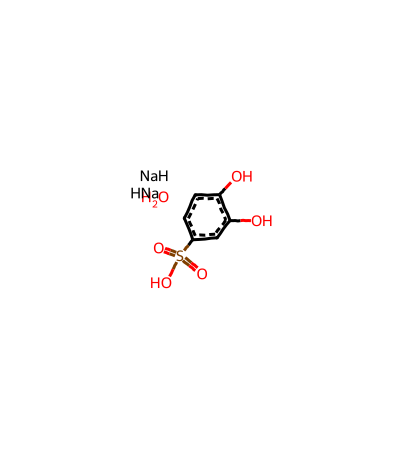 O.O=S(=O)(O)c1ccc(O)c(O)c1.[NaH].[NaH]